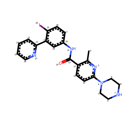 Cc1nc(N2CCNCC2)ccc1C(=O)Nc1ccc(I)c(-c2ccccn2)c1